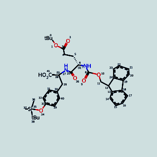 CC(C)(C)OC(=O)CC[C@H](NC(=O)OCC1c2ccccc2-c2ccccc21)C(=O)N[C@@H](Cc1ccc(O[Si](C)(C)C(C)(C)C)cc1)C(=O)O